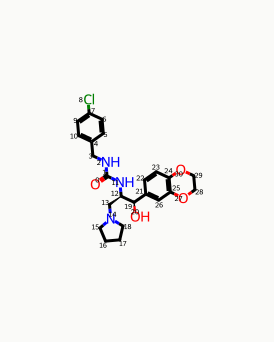 O=C(NCc1ccc(Cl)cc1)N[C@H](CN1CCCC1)[C@H](O)c1ccc2c(c1)OCCO2